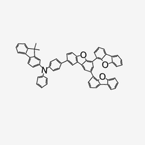 CC1(C)c2ccccc2-c2ccc(N(c3ccccc3)c3ccc(-c4ccc5oc6c(-c7cccc8c7oc7ccccc78)cc(-c7cccc8c7oc7ccccc78)cc6c5c4)cc3)cc21